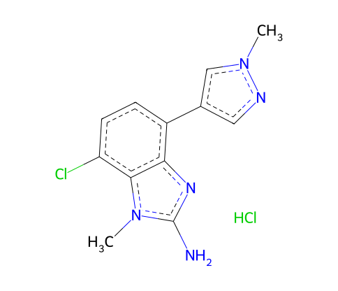 Cl.Cn1cc(-c2ccc(Cl)c3c2nc(N)n3C)cn1